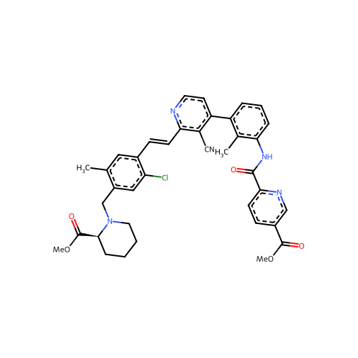 COC(=O)c1ccc(C(=O)Nc2cccc(-c3ccnc(/C=C/c4cc(C)c(CN5CCCC[C@H]5C(=O)OC)cc4Cl)c3C#N)c2C)nc1